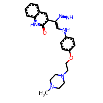 CN1CCN(CCOc2ccc(N/C=C(\N=N)c3cc4ccccc4[nH]c3=O)cc2)CC1